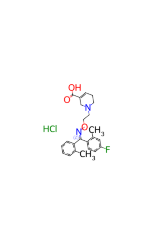 Cc1ccccc1/C(=N/OCCN1CCC=C(C(=O)O)C1)c1ccc(F)cc1C.Cl